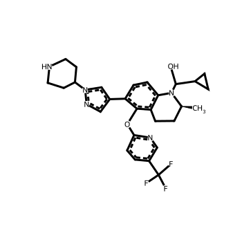 C[C@H]1CCc2c(ccc(-c3cnn(C4CCNCC4)c3)c2Oc2ccc(C(F)(F)F)cn2)N1C(O)C1CC1